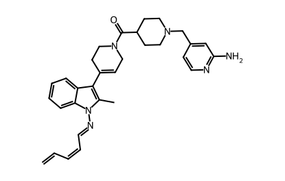 C=C/C=C\C=Nn1c(C)c(C2=CCN(C(=O)C3CCN(Cc4ccnc(N)c4)CC3)CC2)c2ccccc21